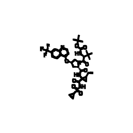 C=CC1C[C@]1(NC(=O)[C@@H]1C[C@@H](Oc2ccnc3cc(C(F)(F)F)ccc23)CN1C(=O)[C@@H](NC(=O)OC(C)(C)C)C(C)(C)C)C(=O)NS(=O)(=O)C1CC1